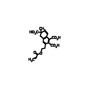 C=CC(=O)OCCc1cc2c(c(C(=O)O)c1C(=O)O)C=CC(C)(C(=O)O)C2